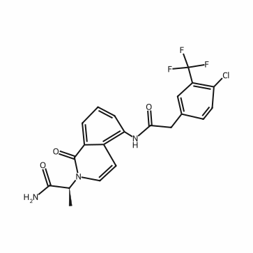 C[C@@H](C(N)=O)n1ccc2c(NC(=O)Cc3ccc(Cl)c(C(F)(F)F)c3)cccc2c1=O